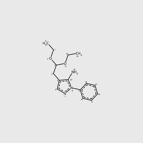 CCOC(Cc1cnn(-c2ccccc2)c1N)OCC